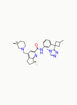 CC1CC(c2cccc(NC(=O)c3cc(CN4CCC[C@H](C)C4)c4c(n3)[C@H](C)CC4)c2)(c2nncn2C)C1